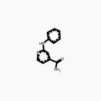 NC(=O)c1ccnc(Nc2ccccc2)c1